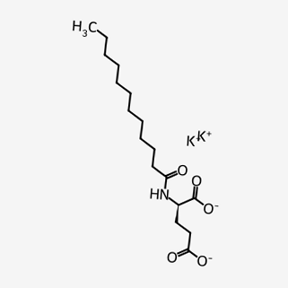 CCCCCCCCCCCC(=O)N[C@H](CCC(=O)[O-])C(=O)[O-].[K+].[K+]